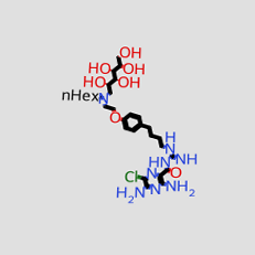 CCCCCCN(CCOc1ccc(CCCCNC(=N)NC(=O)c2nc(Cl)c(N)nc2N)cc1)C[C@H](O)[C@@H](O)[C@H](O)C(O)CO